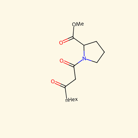 CCCCCCC(=O)CC(=O)N1CCCC1C(=O)OC